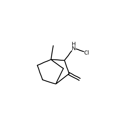 C=C1C2CCC(C)(C2)C1NCl